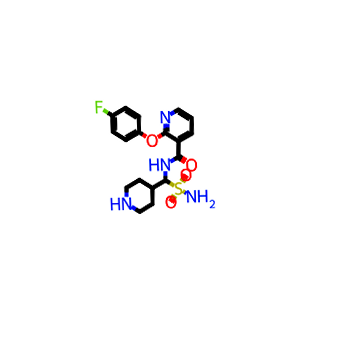 NS(=O)(=O)C(NC(=O)c1cccnc1Oc1ccc(F)cc1)C1CCNCC1